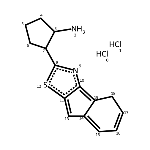 Cl.Cl.NC1CCCC1c1nc2c(s1)=CC1=CC=CCC=21